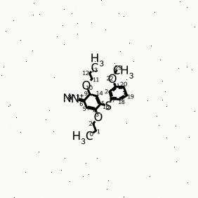 CCCOC1=CC(=[N+]=[N-])C(OCCC)C=C1Sc1cccc(OC)c1